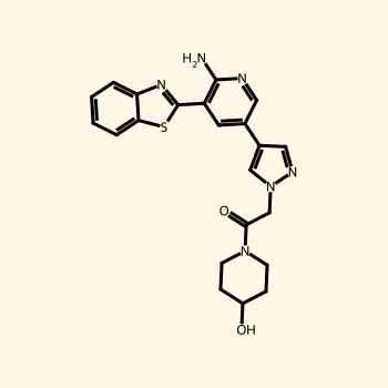 Nc1ncc(-c2cnn(CC(=O)N3CCC(O)CC3)c2)cc1-c1nc2ccccc2s1